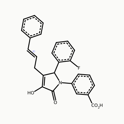 O=C(O)c1cccc(N2C(=O)C(O)=C(C/C=C/c3ccccc3)C2c2ccccc2F)c1